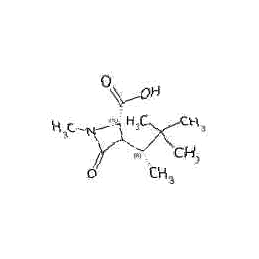 C[C@H](C1C(=O)N(C)[C@@H]1C(=O)O)C(C)(C)C